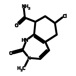 CN1C=CC2=C(NC1=O)C(C(N)=O)CC(Cl)C2